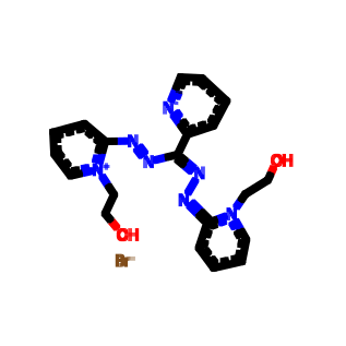 OCCn1ccccc1=NN=C(N=Nc1cccc[n+]1CCO)c1ccccn1.[Br-]